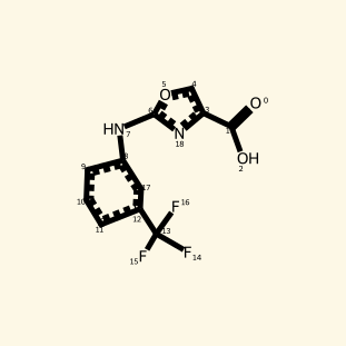 O=C(O)c1coc(Nc2cccc(C(F)(F)F)c2)n1